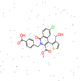 COC(=O)c1c(-c2sccc2CO)c2cc(Cl)ccc2c(=O)n1Cc1ccc(C(=O)O)cc1